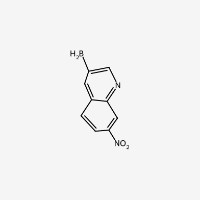 Bc1cnc2cc([N+](=O)[O-])ccc2c1